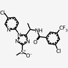 CC(NC(=O)c1cc(Cl)cc(C(F)(F)F)c1)c1nc([S+](C)[O-])nn1-c1ccc(Cl)cn1